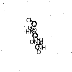 O=C1CCC(N2C(=O)c3ccc(NS(=O)(=O)c4cccc(Cl)c4)cc3C2=O)C(=O)N1